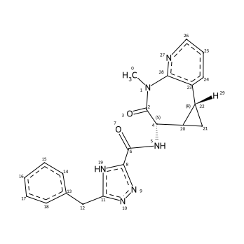 CN1C(=O)[C@@H](NC(=O)c2nnc(Cc3ccccc3)[nH]2)C2C[C@H]2c2cccnc21